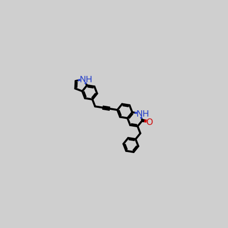 O=c1[nH]c2ccc(C#CCc3ccc4[nH]ccc4c3)cc2cc1Cc1ccccc1